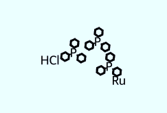 Cl.[Ru].c1ccc(P(c2ccccc2)c2ccccc2)cc1.c1ccc(P(c2ccccc2)c2ccccc2)cc1.c1ccc(P(c2ccccc2)c2ccccc2)cc1